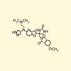 COc1ccc2c(c1)C(=O)N(C[C@@]1(c3cc4nc(N(CCN(C)C)c5cn[nH]c5)ccc4o3)NC(=O)NC1=O)C2